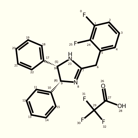 Fc1cccc(CC2=N[C@H](c3ccccc3)[C@H](c3ccccc3)N2)c1F.O=C(O)C(F)(F)F